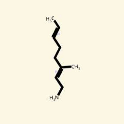 C/C=C/CC/C(C)=C/CN